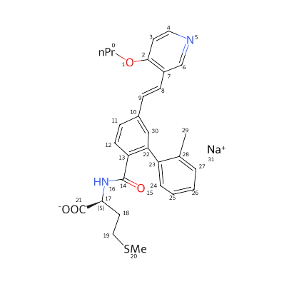 CCCOc1ccncc1C=Cc1ccc(C(=O)N[C@@H](CCSC)C(=O)[O-])c(-c2ccccc2C)c1.[Na+]